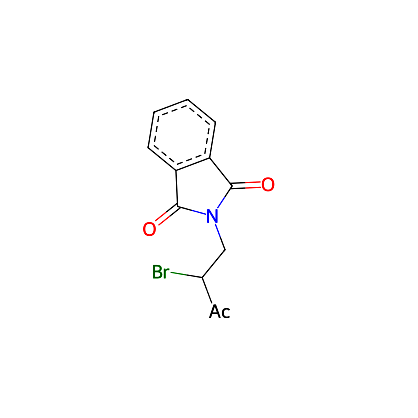 CC(=O)C(Br)CN1C(=O)c2ccccc2C1=O